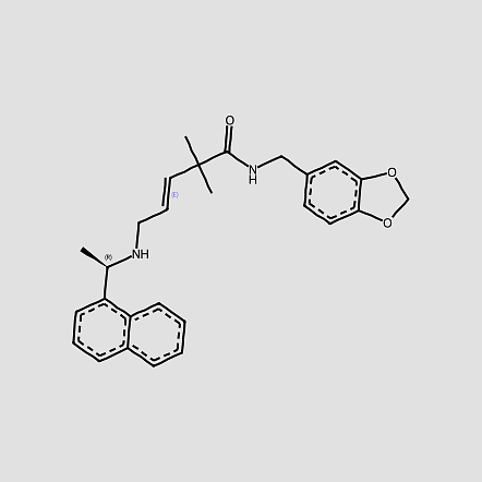 C[C@@H](NC/C=C/C(C)(C)C(=O)NCc1ccc2c(c1)OCO2)c1cccc2ccccc12